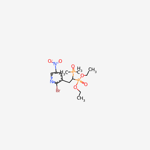 CCOP(=O)(OCC)C(Cc1cc([N+](=O)[O-])cnc1Br)P(C)(C)=O